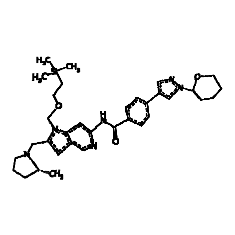 C[C@@H]1CCCN1Cc1cc2cnc(NC(=O)c3ccc(-c4cnn(C5CCCCO5)c4)cc3)cc2n1COCC[Si](C)(C)C